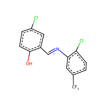 Oc1ccc(Cl)cc1/C=N/c1cc(C(F)(F)F)ccc1Cl